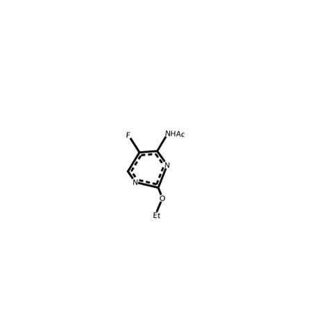 CCOc1ncc(F)c(NC(C)=O)n1